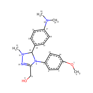 COc1ccc(N2C(CO)=NN(C)C2c2ccc(N(C)C)cc2)cc1